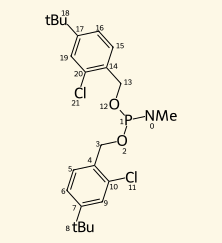 CNP(OCc1ccc(C(C)(C)C)cc1Cl)OCc1ccc(C(C)(C)C)cc1Cl